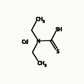 CCN(CC)C(=S)S.[Cd]